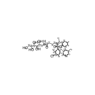 Cc1cnccc1-c1cccc(C(C)N(CCCC(=O)NCC(O)C(O)C(O)C(O)CO)S(=O)(=O)c2cccc(Cl)c2C)c1